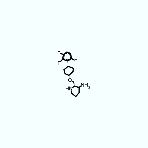 NC1CCCN[C@H]1CO[C@H]1CC[C@@H](c2c(F)ccc(F)c2F)CC1